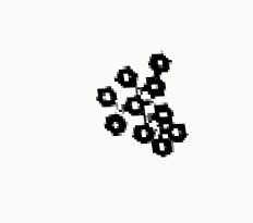 c1ccc(-c2ccc3c(c2)N(c2ccccc2)c2cc(N(c4ccccc4)c4ccccc4)cc4c2B3c2cccc3c2N4c2ccccc2[Si]3(c2ccccc2)c2ccccc2)cc1